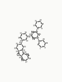 c1ccc(-c2nc(-c3ccccc3)nc(-c3cccc(-c4ccc5oc6nccnc6c5c4)c3)n2)cc1